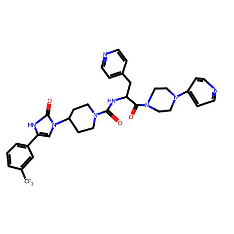 O=C(NC(Cc1ccncc1)C(=O)N1CCN(c2ccncc2)CC1)N1CCC(n2cc(-c3cccc(C(F)(F)F)c3)[nH]c2=O)CC1